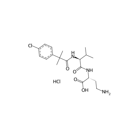 CC(C)[C@H](NC(=O)C(C)(C)c1ccc(Cl)cc1)C(=O)N[C@H](CCN)C(=O)O.Cl